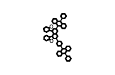 c1ccc(-c2c3ccccc3c(-c3ccc(-c4cc5cc(-c6c7ccccc7c(-c7ccccc7)c7ccccc67)c6oc7ccccc7c6c5c5c4oc4ccccc45)cc3)c3ccccc23)cc1